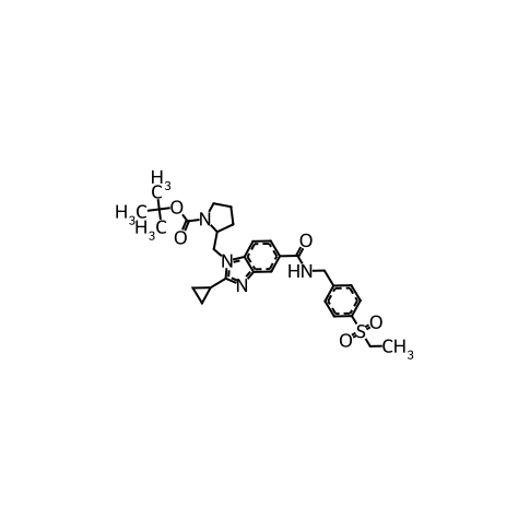 CCS(=O)(=O)c1ccc(CNC(=O)c2ccc3c(c2)nc(C2CC2)n3CC2CCCN2C(=O)OC(C)(C)C)cc1